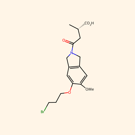 COc1cc2c(cc1OCCCBr)CN(C(=O)C[C@H](C)C(=O)O)C2